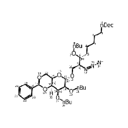 CCCCCCCCCCCCCCC[C@@H](OCCCC)[C@H](CO[C@H]1OC2COC(c3ccccc3)O[C@@H]2[C@H](OCCCC)C1OCCCC)N=[N+]=[N-]